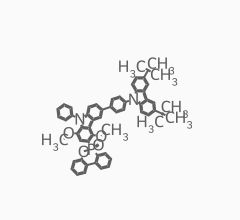 COc1c(P2(=O)Oc3ccccc3-c3ccccc32)cc(OC)c2c1c1cc(-c3ccc(-n4c5ccc(C(C)(C)C)cc5c5cc(C(C)(C)C)ccc54)cc3)ccc1n2-c1ccccc1